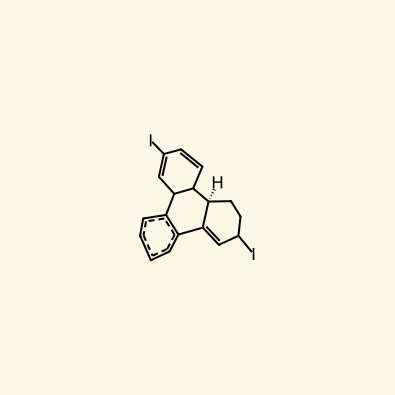 IC1=CC2c3ccccc3C3=CC(I)CC[C@@H]3C2C=C1